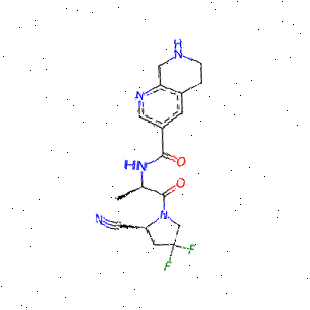 C[C@@H](NC(=O)c1cnc2c(c1)CCNC2)C(=O)N1CC(F)(F)C[C@H]1C#N